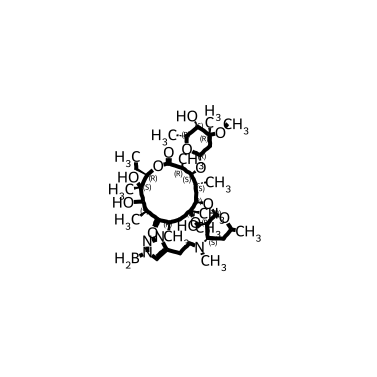 Bn1cc(CCN(C)[C@H]2CC(C)O[C@H](O[C@@H]3[C@@H](C)[C@H](O[C@H]4C[C@@](C)(OC)[C@@H](O)[C@@H](C)O4)[C@@H](C)C(=O)O[C@H](CC)[C@@](C)(O)C(O)[C@H](C)C(=O)[C@H](C)C[C@@]3(C)OC)[C@@H]2O)nn1